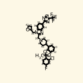 CC1(c2ccc(F)cc2Cl)Oc2cccc(C3CCN(Cc4nc5cc(-c6noc(C(F)(F)F)n6)ccc5n4CC4CCO4)CC3)c2O1